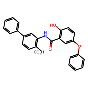 O=C(Nc1cc(-c2ccccc2)ccc1C(=O)O)c1cc(Oc2ccccc2)ccc1O